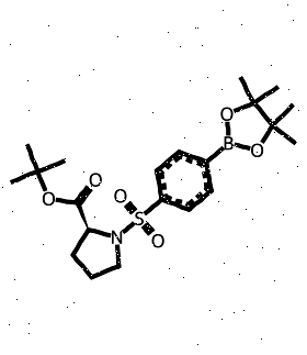 CC(C)(C)OC(=O)[C@@H]1CCCN1S(=O)(=O)c1ccc(B2OC(C)(C)C(C)(C)O2)cc1